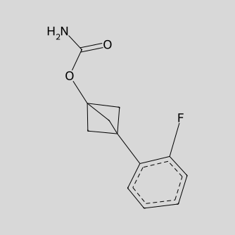 NC(=O)OC12CC(c3ccccc3F)(C1)C2